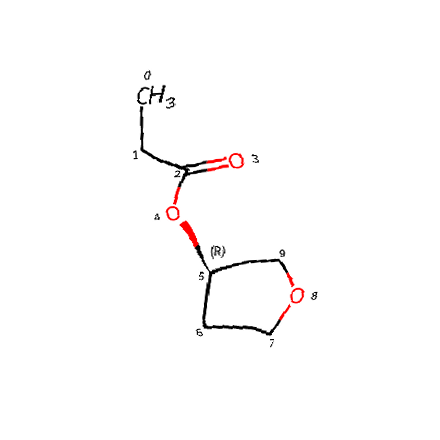 CCC(=O)O[C@@H]1CCOC1